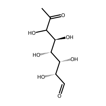 CC(=O)C(O)[C@@H](O)[C@@H](O)[C@H](O)[C@@H](O)C=O